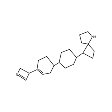 C1=NCC1C1=CCC(C2CCC(C3CCC34CCCN4)CC2)CC1